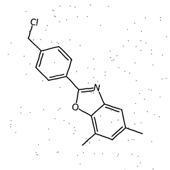 Cc1cc(C)c2oc(-c3ccc(CCl)cc3)nc2c1